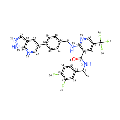 CC(NC(=O)c1cc(C(F)(F)F)cnc1NCc1ccc(-c2cnc3[nH]ncc3c2)cc1)c1ccc(F)c(F)c1